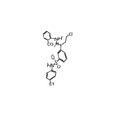 CCc1ccc(NS(=O)(=O)c2cccc(C(CCCl)CNc3ccccc3C(=O)O)c2)cc1